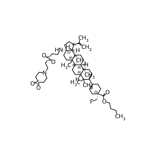 C=C(C)[C@@H]1CC[C@]2(NCCS(=O)(=O)CCN3CCS(=O)(=O)CC3)CC[C@]3(C)[C@H](CC[C@@H]4[C@@]5(C)CC=C(C6=CC[C@](CF)(C(=O)OCCCC)CC6)C(C)(C)[C@@H]5CC[C@]43C)[C@@H]12